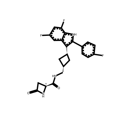 O=C1C[C@@H](C(=O)NC[C@H]2C[C@@H](c3c(-c4ccc(F)cc4)[nH]c4c(F)cc(F)cc43)C2)N1